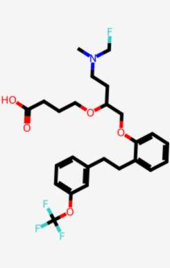 CN(CF)CCC(COc1ccccc1CCc1cccc(OC(F)(F)F)c1)OCCCC(=O)O